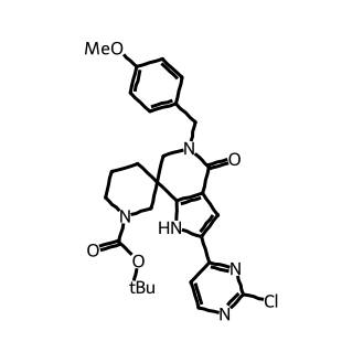 COc1ccc(CN2CC3(CCCN(C(=O)OC(C)(C)C)C3)c3[nH]c(-c4ccnc(Cl)n4)cc3C2=O)cc1